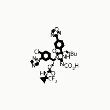 CC(C)(C)C[C@]1(c2ccc(-c3ncon3)cc2)N/C(=N\C(=O)O)N([C@H](COC(=O)NC2(C(F)(F)F)CC2)c2ccc(Cl)c(-n3cncn3)c2)C1=O